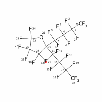 FC(F)(F)C(F)(F)C(F)(F)C(F)(F)C1(C(F)(F)C(F)(F)C(F)(F)C(F)(F)F)OC(F)(F)C(F)(F)C1(F)F